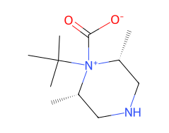 C[C@@H]1CNC[C@H](C)[N+]1(C(=O)[O-])C(C)(C)C